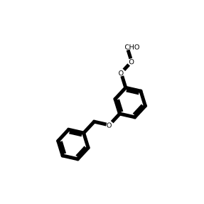 O=COOc1cccc(OCc2ccccc2)c1